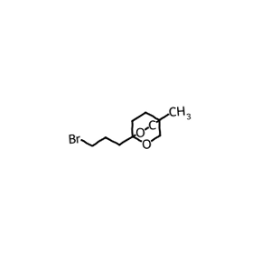 CC12CCC(CCCBr)(OC1)OC2